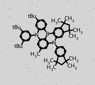 Cc1cc2c3c(c1)N(c1ccc4c(c1)C(C)(C)CC4(C)C)c1cc4c(cc1B3c1ccc(C(C)(C)C)cc1N2c1cc(C(C)(C)C)cc(C(C)(C)C)c1)C(C)(C)CC4(C)C